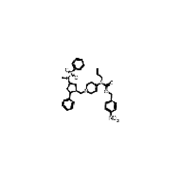 C=CCN(C(=O)OCc1ccc([N+](=O)[O-])cc1)C1CCN(CC2CC(N(C)S(=O)(=O)c3ccccc3)CC2c2ccccc2)CC1